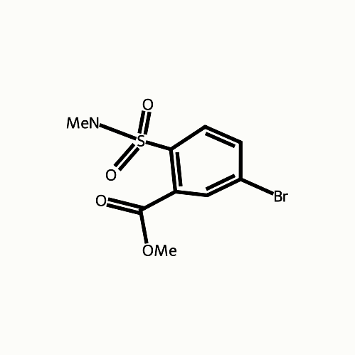 CNS(=O)(=O)c1ccc(Br)cc1C(=O)OC